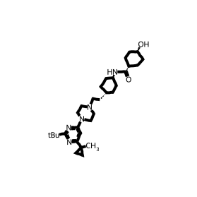 CC(C)(C)c1nc(N2CCN(CC[C@H]3CC[C@H](NC(=O)[C@H]4CC[C@H](O)CC4)CC3)CC2)cc(C2(C)CC2)n1